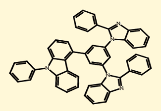 c1ccc(-c2nc3ccccc3n2-c2cc(-c3cccc4c3c3ccccc3n4-c3ccccc3)cc(-n3c(-c4ccccc4)nc4ccccc43)c2)cc1